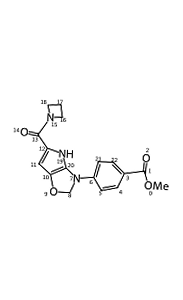 COC(=O)c1ccc(N2COc3cc(C(=O)N4CCC4)[nH]c32)cc1